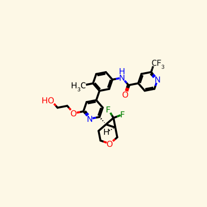 Cc1ccc(NC(=O)c2ccnc(C(F)(F)F)c2)cc1-c1cc(OCCO)nc([C@@]23CCOC[C@@H]2C3(F)F)c1